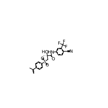 C=C(C)c1ccc(S(=O)(=O)C[C@@](C)(O)C(=O)Nc2ccc(C#N)c(C(F)(F)F)c2)cc1